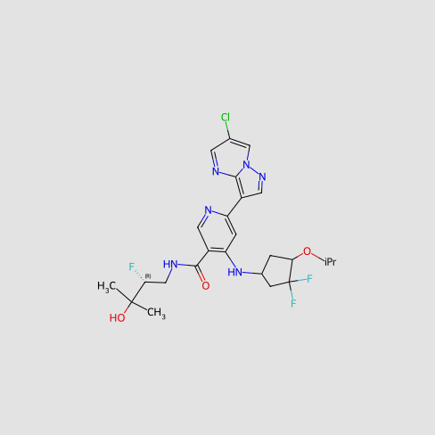 CC(C)OC1CC(Nc2cc(-c3cnn4cc(Cl)cnc34)ncc2C(=O)NC[C@@H](F)C(C)(C)O)CC1(F)F